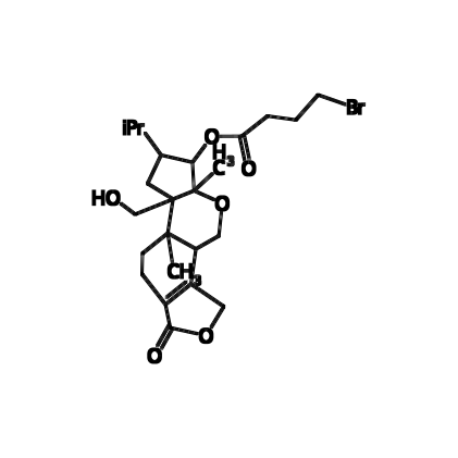 CC(C)C1CC2(CO)C3(C)CCC4=C(COC4=O)C3COC2(C)C1OC(=O)CCCBr